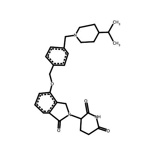 CC(C)C1CCN(Cc2ccc(COc3cccc4c3CN(C3CCC(=O)NC3=O)C4=O)cc2)CC1